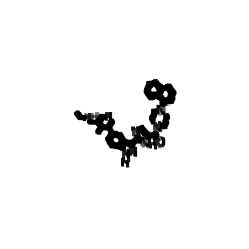 CCNCc1cncc(-c2ccc3[nH]nc(-c4ncc(C(=O)N5CCN(c6cccc7ccccc67)CC5)[nH]4)c3c2)c1C